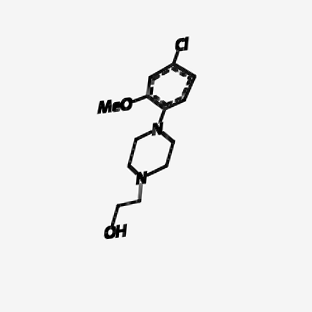 COc1cc(Cl)ccc1N1CCN(CCO)CC1